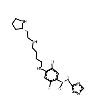 [O-][S+](Nc1ncns1)c1cc(Cl)c(NCCCCNCC[C@@H]2CCCN2)cc1F